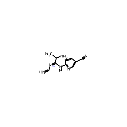 CC(N)/C(=N/C=N)Nc1ccc(C#N)cn1